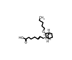 CCCCCO[C@H]1[C@H]2CC[C@H](C2)[C@H]1CC=CCCCC(=O)O